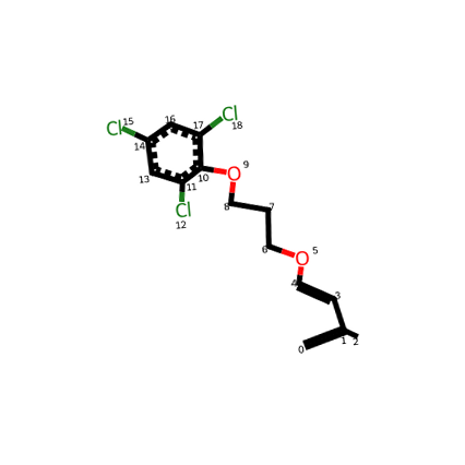 C=C(C)C=COCCCOc1c(Cl)cc(Cl)cc1Cl